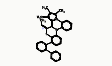 C=c1c(C)c(C)n2c1=C1B(c3ccccc3-2)c2cccc(-c3ccccc3-c3ccccc3)c2S/C1=C/C